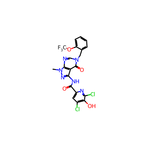 Cn1nc(NC(=O)c2cc(Cl)c(O)c(Cl)n2)c2c(=O)n(Cc3ccccc3OC(F)(F)F)cnc21